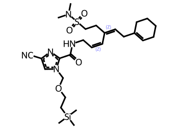 CN(C)S(=O)(=O)CCC(/C=C\CNC(=O)c1nc(C#N)cn1COCC[Si](C)(C)C)=C/CC1=CCCCC1